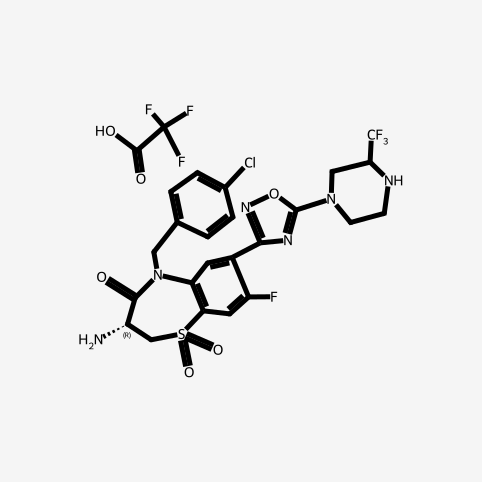 N[C@H]1CS(=O)(=O)c2cc(F)c(-c3noc(N4CCNC(C(F)(F)F)C4)n3)cc2N(Cc2ccc(Cl)cc2)C1=O.O=C(O)C(F)(F)F